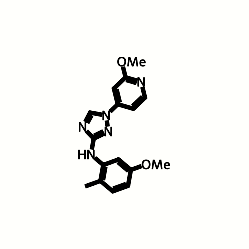 COc1ccc(C)c(Nc2ncn(-c3ccnc(OC)c3)n2)c1